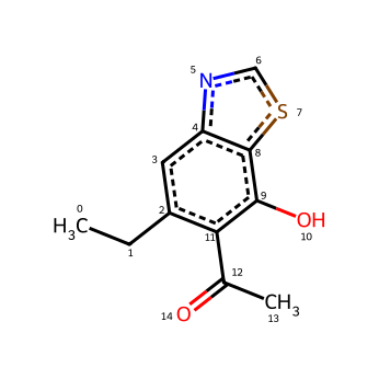 CCc1cc2ncsc2c(O)c1C(C)=O